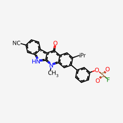 CC(C)c1cc2c(=O)c3c4ccc(C#N)cc4[nH]c3n(C)c2cc1-c1cccc(OS(=O)(=O)F)c1